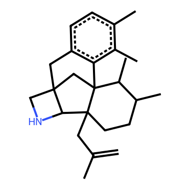 C=C(C)CC12CCC(C)C(C)C13CC1(CNC12)Cc1ccc(C)c(C)c13